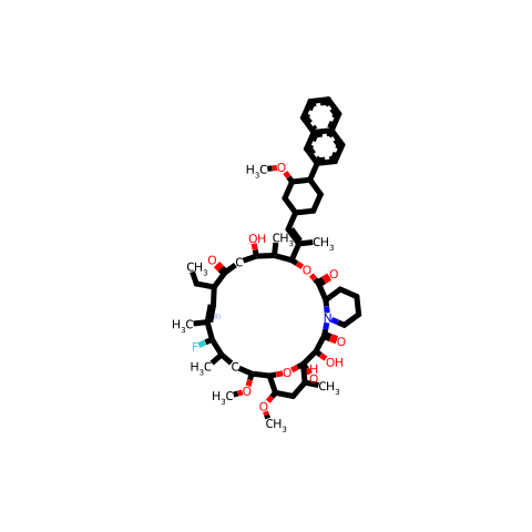 CCC1/C=C(\C)C(F)C(C)CC(OC)C2OC(O)(C(C)CC2OC)C(O)C(=O)N2CCCCC2C(=O)OC(C(C)=CC2CCC(c3ccc4ccccc4c3)C(OC)C2)C(C)C(O)CC1=O